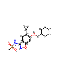 CS(=O)(=O)Nc1noc2cc(OCC3CCCCC3)c(C3CC3)cc12